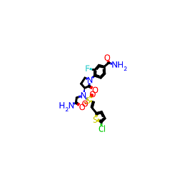 NC(=O)CN([C@H]1CCN(c2ccc(C(N)=O)cc2F)C1=O)S(=O)(=O)/C=C/c1ccc(Cl)s1